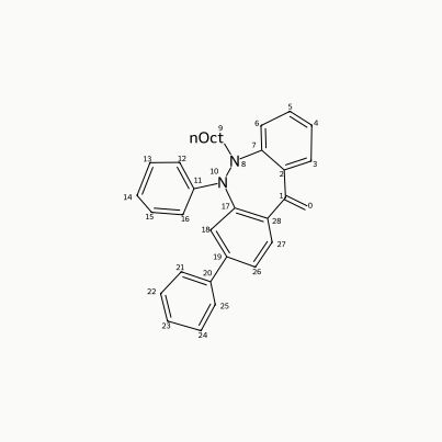 C=C1c2ccccc2N(CCCCCCCC)N(c2ccccc2)c2cc(-c3ccccc3)ccc21